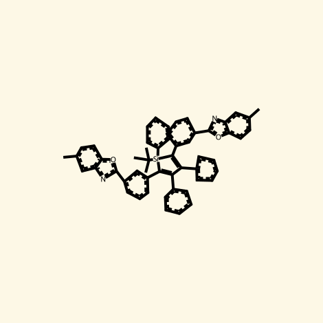 Cc1ccc2oc(-c3cccc(C4=C(c5ccccc5)C(c5ccccc5)=C(c5cccc(-c6nc7cc(C)ccc7o6)c5)[Si]4(c4ccccc4)C(C)(C)C)c3)nc2c1